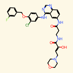 O=C(CCNC(=O)C(O)=CCN1CCOCC1)Nc1ccc2ncnc(Nc3ccc(OCc4cccc(F)c4)c(Cl)c3)c2c1